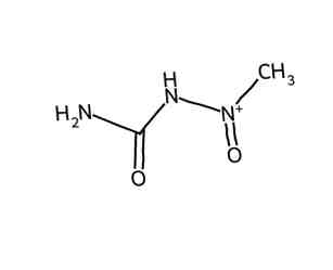 C[N+](=O)NC(N)=O